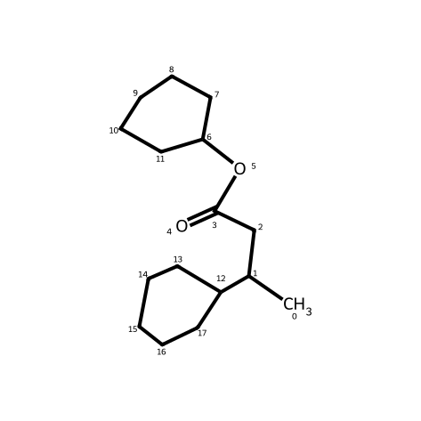 CC(CC(=O)OC1CCCCC1)C1CCCCC1